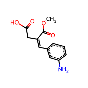 COC(=O)C(=Cc1cccc(N)c1)CC(=O)O